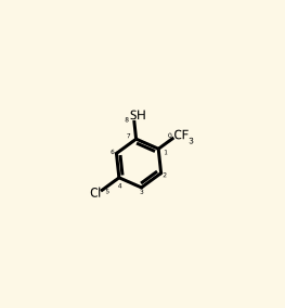 FC(F)(F)c1ccc(Cl)cc1S